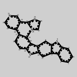 c1ccc2c(c1)sc1cc3c(cc12)sc1ccc2c4ccncc4c4nccn4c2c13